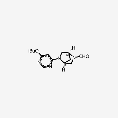 CC(C)COc1cc(N2C[C@@H]3C[C@H]2CN3C=O)ncn1